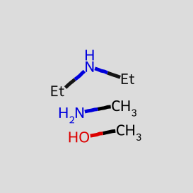 CCNCC.CN.CO